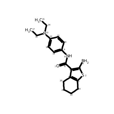 Bc1sc2c(c1C(=O)Nc1ccc(N(CC)CC)cc1)CCCC2